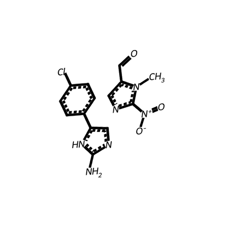 Cn1c(C=O)cnc1[N+](=O)[O-].Nc1ncc(-c2ccc(Cl)cc2)[nH]1